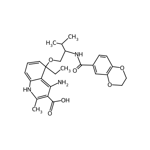 CCC1(OCC(NC(=O)c2ccc3c(c2)OCCO3)C(C)C)C=CC=C2NC(C)=C(C(=O)O)C(N)=C21